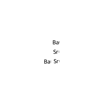 [Ba].[Ba].[Sr].[Sr]